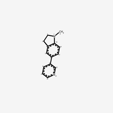 CN1CCc2cc(-c3cccnc3)ccc21